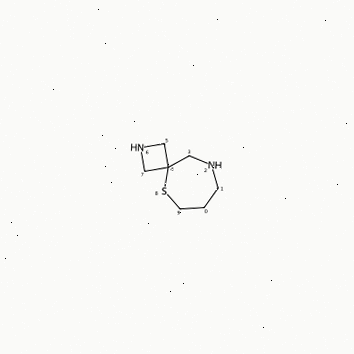 C1CNCC2(CNC2)SC1